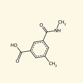 CNC(=O)c1cc(C)cc(C(=O)O)c1